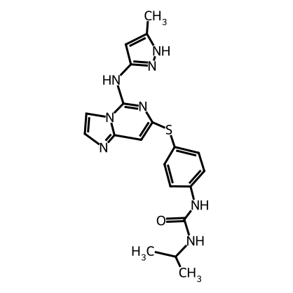 Cc1cc(Nc2nc(Sc3ccc(NC(=O)NC(C)C)cc3)cc3nccn23)n[nH]1